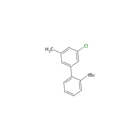 Cc1cc(Cl)cc(-c2ccccc2C(C)(C)C)c1